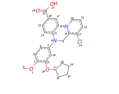 COc1ccc(N(Cc2ncccc2Cl)c2ccc(C(=O)O)cc2)cc1OC1CCCC1